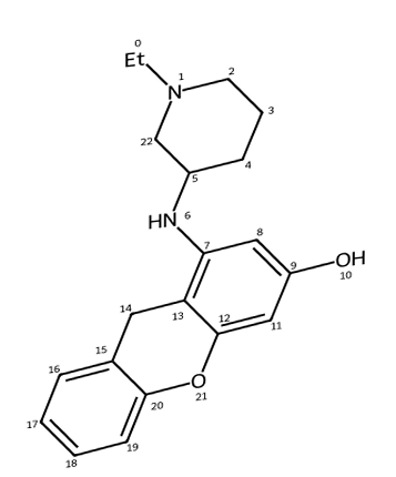 CCN1CCCC(Nc2cc(O)cc3c2Cc2ccccc2O3)C1